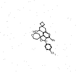 CC(C)c1nc2c(c3c1[C@@H](c1ccc(C(F)(F)F)cc1)OC31CCOCC1)C(O)CC1(CCC1)C2